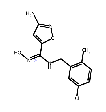 Cc1ccc(Cl)cc1CN/C(=N/O)c1cc(N)no1